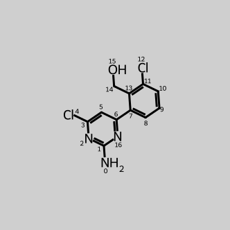 Nc1nc(Cl)cc(-c2cccc(Cl)c2CO)n1